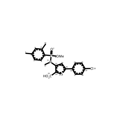 COP(=O)(c1ccc(C)cc1C)N(C)c1cc(-c2ccc(Cl)cc2)sc1C(=O)O